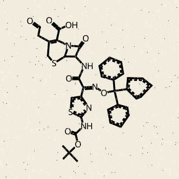 CC(C)(C)OC(=O)Nc1nc(C(=NOC(c2ccccc2)(c2ccccc2)c2ccccc2)C(=O)NC2C(=O)N3C(C(=O)O)=C(CC=O)CSC23)cs1